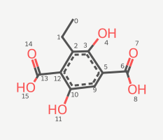 CCc1c(O)c(C(=O)O)cc(O)c1C(=O)O